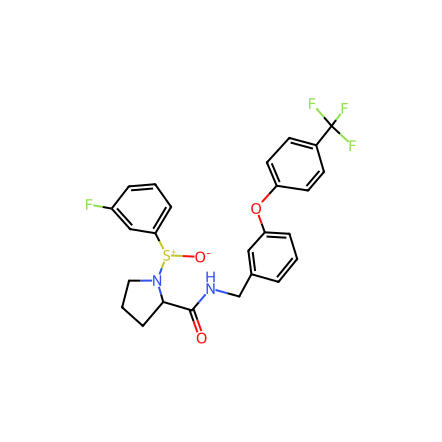 O=C(NCc1cccc(Oc2ccc(C(F)(F)F)cc2)c1)C1CCCN1[S+]([O-])c1cccc(F)c1